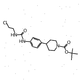 CC(C)(C)OC(=O)N1CCC(c2ccc(NC(=O)NCCCl)cc2)CC1